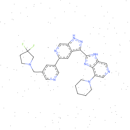 FC1(F)CCN(Cc2cncc(-c3cc4c(-c5nc6c(N7CCCCC7)cncc6[nH]5)n[nH]c4cn3)c2)C1